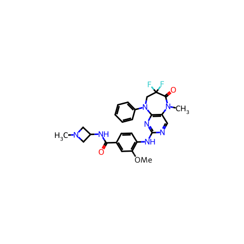 COc1cc(C(=O)NC2CN(C)C2)ccc1Nc1ncc2c(n1)N(c1ccccc1)CC(F)(F)C(=O)N2C